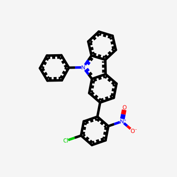 O=[N+]([O-])c1ccc(Cl)cc1-c1ccc2c3ccccc3n(-c3ccccc3)c2c1